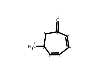 CC1C=CC=CC(=O)C1